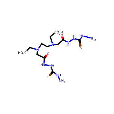 NNC(=S)NNC(=O)CN(CCN(CC(=O)O)CC(=O)NNC(=S)NN)CC(=O)O